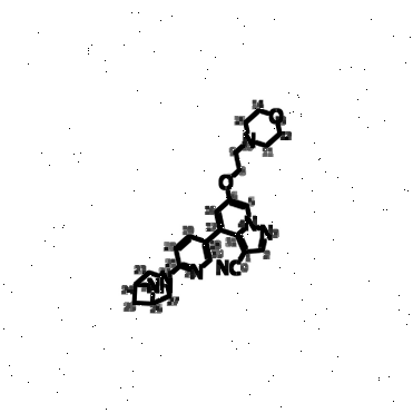 N#Cc1cnn2cc(OCCN3CCOCC3)cc(-c3ccc(N4CC5CC(C4)N5)nc3)c12